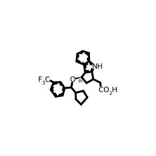 O=C(O)CC1C[C@@H](OC(c2cccc(C(F)(F)F)c2)C2CCCC2)c2c1[nH]c1ccccc21